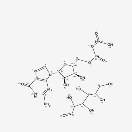 Nc1nc2c(ncn2[C@@H]2O[C@H](CO[PH](=O)O[PH](=O)O)[C@@H](O)[C@H]2O)c(=O)[nH]1.O=CC(O)C(O)C(O)C(O)CO